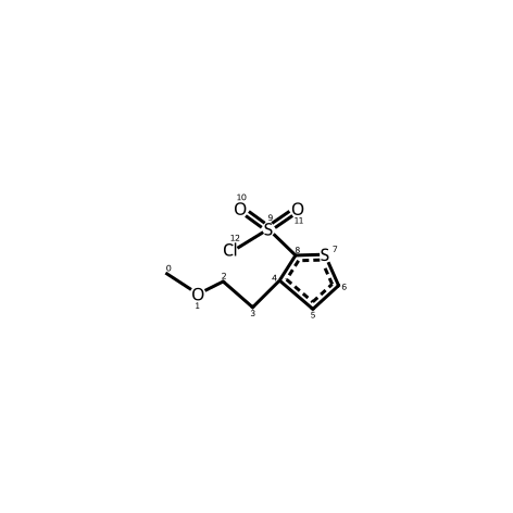 COCCc1ccsc1S(=O)(=O)Cl